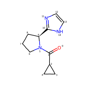 O=C(C1CC1)N1CCC[C@H]1c1ncc[nH]1